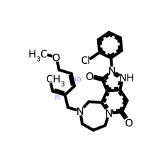 C/C=C(\C=C/COC)CN1CCCn2c(c3c(=O)n(-c4ccccc4Cl)[nH]c3cc2=O)C1